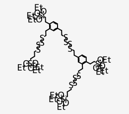 CCO[Si](CCCSSSSCCc1cc(CCSSSSCCc2ccc(CC[Si](OCC)(OCC)OCC)c(CCSSSSCCC[Si](OCC)(OCC)OCC)c2)ccc1CC[Si](OCC)(OCC)OCC)(OCC)OCC